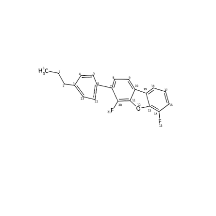 CCCc1ccc(-c2ccc3c(oc4c(F)cccc43)c2F)cc1